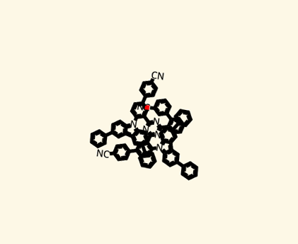 N#Cc1ccc(-c2ccc(-n3c4ccc(-c5ccccc5)cc4c4cc(-c5ccccc5)ccc43)c(-c3nc(-c4ccccc4-c4cccc(C#N)c4)nc(-c4cc(-c5ccc(C#N)cc5)ccc4-n4c5ccc(-c6ccccc6)cc5c5cc(-c6ccccc6)ccc54)n3)c2)cc1